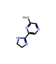 COc1cncc(C2=NCCN2)n1